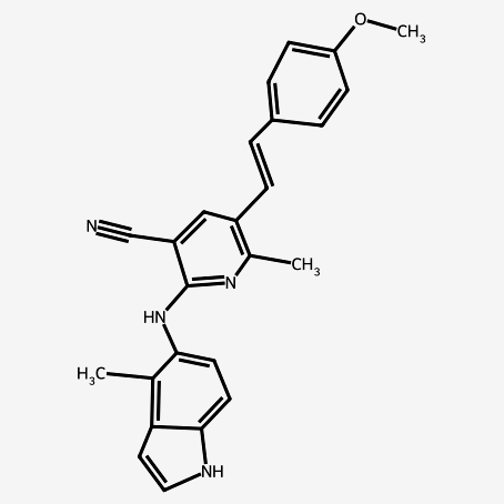 COc1ccc(/C=C/c2cc(C#N)c(Nc3ccc4[nH]ccc4c3C)nc2C)cc1